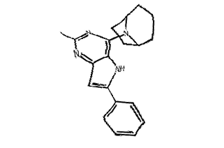 Cc1nc(N2C3CCCC2CC3)c2[nH]c(-c3ccccc3)cc2n1